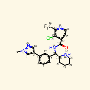 Cn1cc(-c2cccc(C(NC(=O)c3ccnc(C(F)(F)F)c3Cl)[C@@H]3CCCCN3)c2)cn1